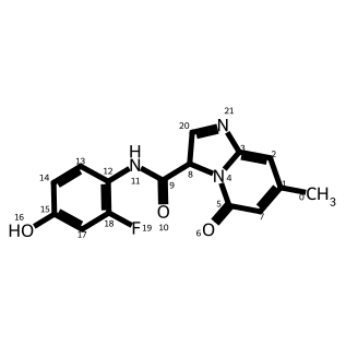 Cc1cc2n(c(=O)c1)C(C(=O)Nc1ccc(O)cc1F)C=N2